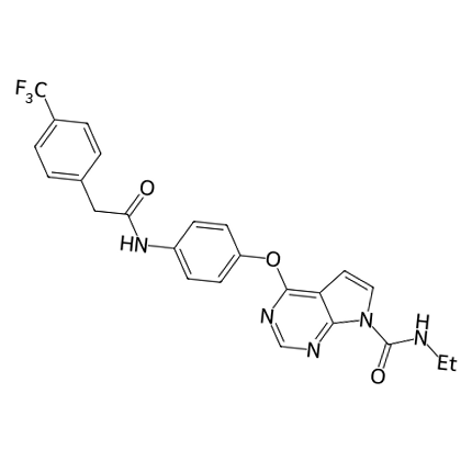 CCNC(=O)n1ccc2c(Oc3ccc(NC(=O)Cc4ccc(C(F)(F)F)cc4)cc3)ncnc21